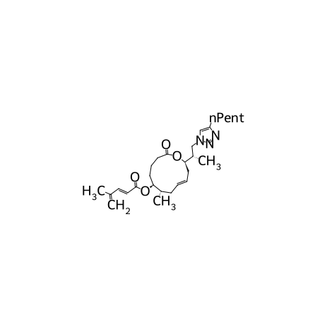 C=C(C)/C=C/C(=O)O[C@H]1CCCC(=O)O[C@@H]([C@@H](C)Cn2cc(CCCCC)nn2)C/C=C/C[C@@H]1C